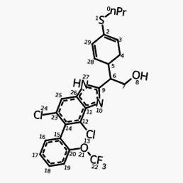 CCCSC1=CCC(C(CO)c2nc3c(Cl)c(-c4ccccc4OC(F)(F)F)c(Cl)cc3[nH]2)C=C1